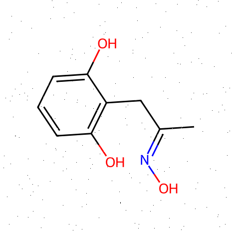 CC(Cc1c(O)cccc1O)=NO